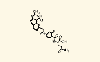 Cc1nc2ccc3ccc(CNc4ccc(C(=O)N[C@@H](CCC(N)=O)C(=O)O)c(F)c4)cc3c2c(=O)[nH]1